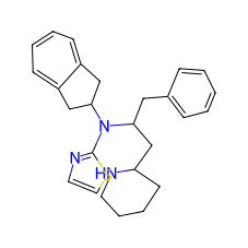 c1ccc(CC(CC2CCCCN2)N(c2nccs2)C2Cc3ccccc3C2)cc1